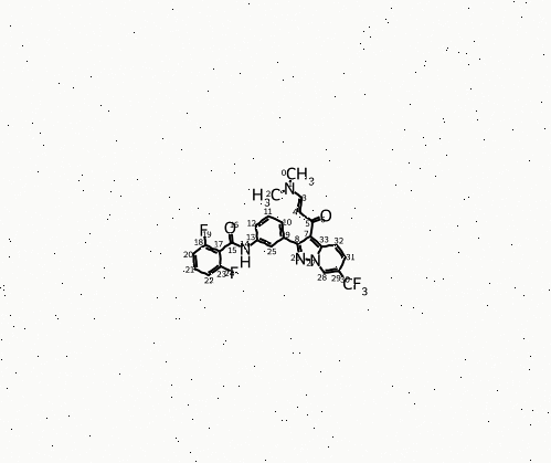 CN(C)C=CC(=O)c1c(-c2cccc(NC(=O)c3c(F)cccc3F)c2)nn2cc(C(F)(F)F)ccc12